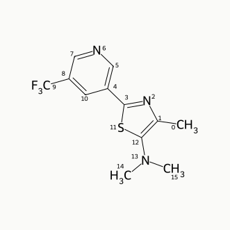 Cc1nc(-c2cncc(C(F)(F)F)c2)sc1N(C)C